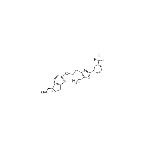 Cc1sc(-c2cccc(C(F)(F)F)c2)nc1CCOc1ccc2c(c1)CC[C@H]2CC=O